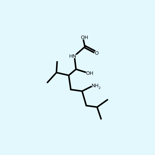 CC(C)CC(N)CC(C(C)C)C(O)NC(=O)O